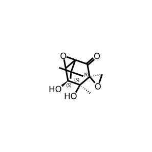 CC(C)(C)C12OC1[C@H](O)[C@](C)(O)[C@@]1(CO1)C2=O